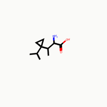 CC(C)C1(C(C)C(N)C(=O)O)CC1